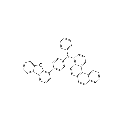 c1ccc(N(c2ccc(-c3cccc4c3oc3ccccc34)cc2)c2cccc3c2ccc2ccc4ccccc4c23)cc1